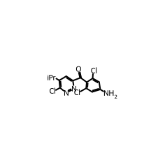 CC(C)c1cc(C(=O)c2c(Cl)cc(N)cc2Cl)nnc1Cl